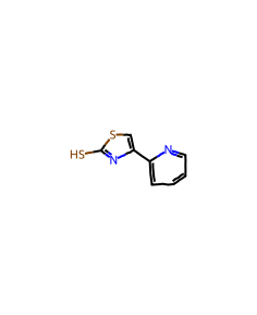 Sc1nc(-c2ccccn2)cs1